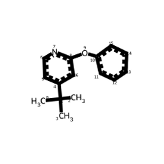 CC(C)(C)c1ccnc(Oc2ccccc2)c1